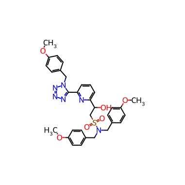 COc1ccc(CN(Cc2ccc(OC)cc2)S(=O)(=O)CC(O)c2cccc(-c3nnnn3Cc3ccc(OC)cc3)n2)cc1